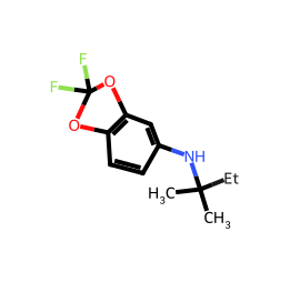 CCC(C)(C)Nc1ccc2c(c1)OC(F)(F)O2